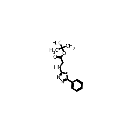 CC(C)(C)OC(=O)CNc1nnc(-c2ccccc2)s1